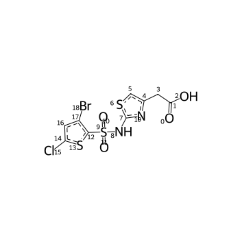 O=C(O)Cc1csc(NS(=O)(=O)c2sc(Cl)cc2Br)n1